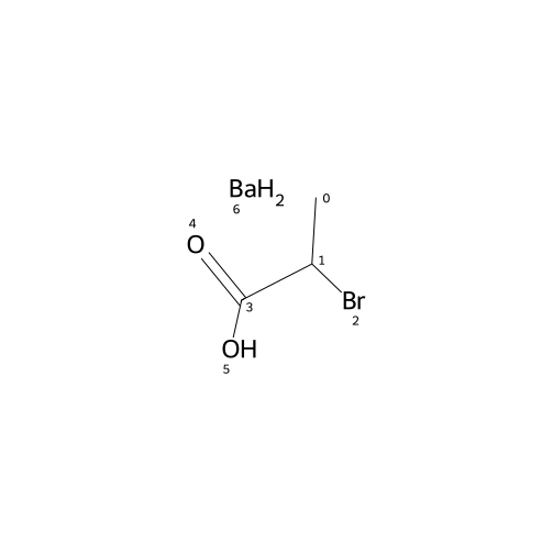 CC(Br)C(=O)O.[BaH2]